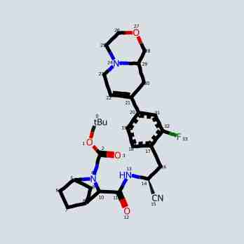 CC(C)(C)OC(=O)N1C2CCC(C2)C1C(=O)N[C@H](C#N)Cc1ccc(C2=CCN3CCOCC3C2)cc1F